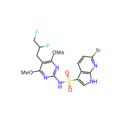 COc1nc(NS(=O)(=O)c2c[nH]c3nc(Br)ccc23)nc(OC)c1CC(F)CF